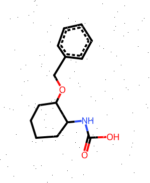 O=C(O)NC1CCCCC1OCc1ccccc1